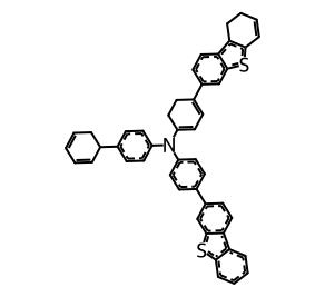 C1=CCC(c2ccc(N(C3=CC=C(c4ccc5c6c(sc5c4)C=CCC6)CC3)c3ccc(-c4ccc5c(c4)sc4ccccc45)cc3)cc2)C=C1